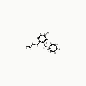 C=CCCc1ccc(C)cc1Cc1ccccc1